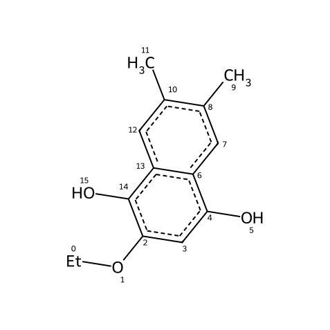 CCOc1cc(O)c2cc(C)c(C)cc2c1O